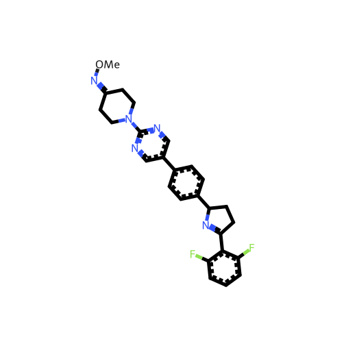 CON=C1CCN(c2ncc(-c3ccc(C4CCC(c5c(F)cccc5F)=N4)cc3)cn2)CC1